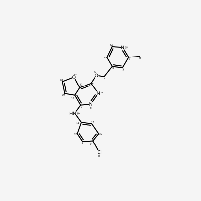 Cc1cc(COc2nnc(Nc3ccc(Cl)cc3)c3ccoc23)ccn1